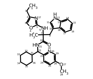 CCc1coc(NC(C)(Cc2c[nH]c3ccccc23)C(=O)NC(c2ccc(OC)cn2)C2CCCCC2)n1